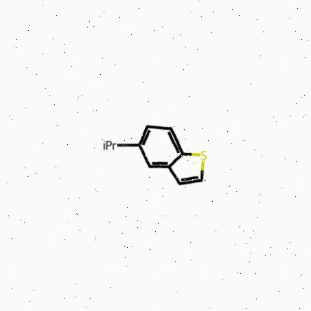 CC(C)c1ccc2s[c]cc2c1